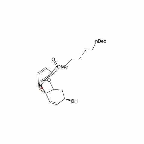 CCCCCCCCCCCCCCCC(=O)N1CCC23C=C[C@H](O)CC2Oc2c(OC)ccc(c23)C1